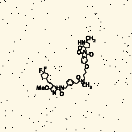 C=C1CCC(N2C(=O)c3ccc(OCCCCN(C)C(=O)Cc4cccc(CNC(=O)c5cc(/C=C/C6CCC(F)(F)CC6)c(OC)cn5)c4)cc3C2=O)C(=O)N1